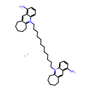 Nc1cccc2c1cc1c([n+]2CCCCCCCCCCCC[n+]2c3c(cc4c(N)cccc42)CCCCC3)CCCCC1.[I-].[I-]